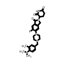 Cc1cc(CN2CCN(c3cc4c(cc3F)C(=O)N(C3CCC(=O)NC3=O)C4)CC2)ccc1N(C)C